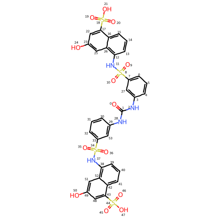 O=C(Nc1cccc(S(=O)(=O)Nc2cccc3c(S(=O)(=O)O)cc(O)cc23)c1)Nc1cccc(S(=O)(=O)Nc2cccc3c(S(=O)(=O)O)cc(O)cc23)c1